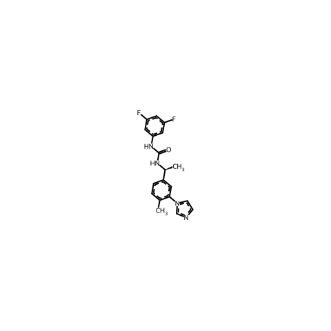 Cc1ccc([C@H](C)NC(=O)Nc2cc(F)cc(F)c2)cc1-n1ccnc1